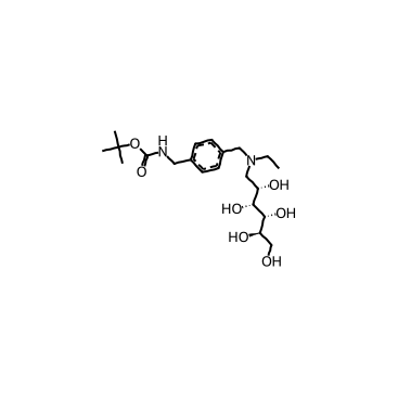 CCN(Cc1ccc(CNC(=O)OC(C)(C)C)cc1)C[C@H](O)[C@@H](O)[C@H](O)[C@H](O)CO